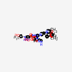 Cc1ccc(O[C@@]2(C)CCN(C3CC4(CCN(c5ccc(C(=O)NS(=O)(=O)c6ccc(NC[C@H]7CC[C@](C)(O)CC7)c([N+](=O)[O-])c6)c(N6c7cc8cc[nH]c8nc7O[C@H]7COCC[C@@H]76)c5)CC4)C3)[C@H](c3ccccc3C(C)C)C2)cc1